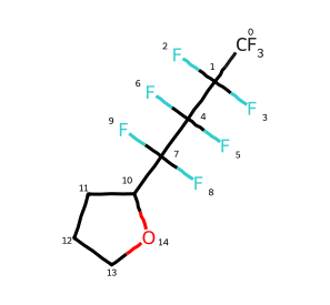 FC(F)(F)C(F)(F)C(F)(F)C(F)(F)C1CCCO1